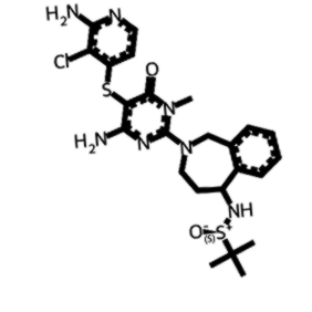 Cn1c(N2CCC(N[S@+]([O-])C(C)(C)C)c3ccccc3C2)nc(N)c(Sc2ccnc(N)c2Cl)c1=O